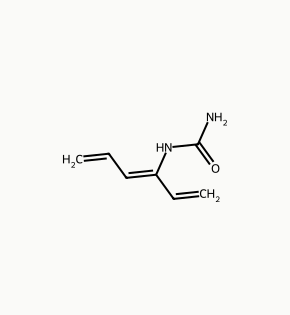 C=CC=C(C=C)NC(N)=O